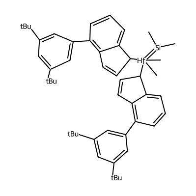 C[Si](C)=[Hf]([CH3])([CH3])([CH]1C=Cc2c(-c3cc(C(C)(C)C)cc(C(C)(C)C)c3)cccc21)[CH]1C=Cc2c(-c3cc(C(C)(C)C)cc(C(C)(C)C)c3)cccc21